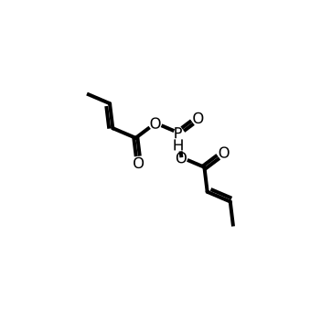 CC=CC(=O)O[PH](=O)OC(=O)C=CC